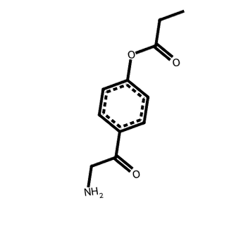 CCC(=O)Oc1ccc(C(=O)CN)cc1